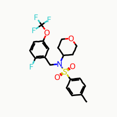 Cc1ccc(S(=O)(=O)N(Cc2cc(OC(F)(F)F)ccc2F)C2CCOCC2)cc1